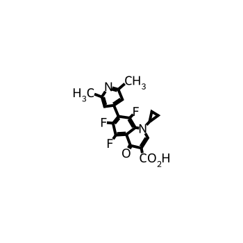 Cc1cc(-c2c(F)c(F)c3c(=O)c(C(=O)O)cn(C4CC4)c3c2F)cc(C)n1